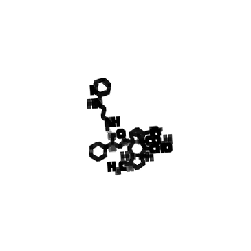 CC(C)C1=CC2CC3(C=O)[C@@H]4CC[C@@H](C)[C@H]4CC2([C@H]2C[C@@H](C4CCCCC4)[C@H](CNCCNc4ccccn4)O2)[C@]13C(=O)O